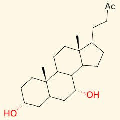 CC(=O)CCC1CCC2C3C(CC[C@]12C)[C@@]1(C)CC[C@@H](O)CC1C[C@H]3O